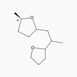 CC(CC1CC[C@@H](C)O1)C1CCCO1